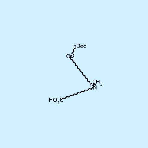 CCCCCCCCCCCCCCOC(=O)CCCCCCCC=CCCCCCCCCN1C(CCCCCCCC=CCCCCCCCC(=O)O)=NCC1C